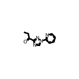 CCC(=O)c1ncn(-c2ccccn2)n1